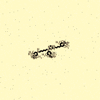 CCCON1C(C)(C)CC(CCCCNc2ncnc(N(CCCCCCNC3CC(C)(C)N(OCCC)C(C)(C)C3)C3CC(C)(C)N(OCCC)C(C)(C)C3)n2)CC1(C)C